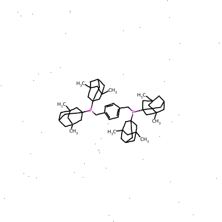 CC12CC3CC(C)(C1)CC(P(Cc1ccc(CP(C45CC6CC(C)(CC(C)(C6)C4)C5)C45CC6CC(C)(CC(C)(C6)C4)C5)cc1)C14CC5CC(C)(CC(C)(C5)C1)C4)(C3)C2